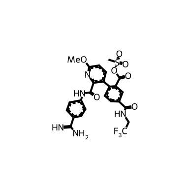 COc1ccc(-c2ccc(C(=O)NCC(F)(F)F)cc2C(=O)OS(C)(=O)=O)c(C(=O)Nc2ccc(C(=N)N)cc2)n1